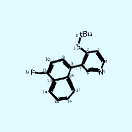 CC(C)(C)Sc1ccncc1-c1ccc(F)c2ccccc12